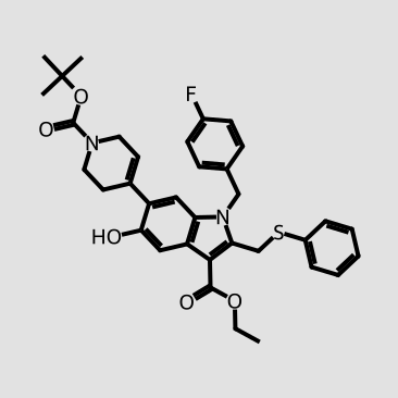 CCOC(=O)c1c(CSc2ccccc2)n(Cc2ccc(F)cc2)c2cc(C3=CCN(C(=O)OC(C)(C)C)CC3)c(O)cc12